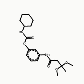 COC(C)(CC(=O)Nc1cccc(OC(=O)NC2CCCCC2)c1)OC